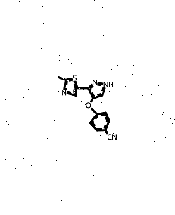 Cc1ncc(-c2n[nH]cc2Oc2ccc(C#N)cc2)s1